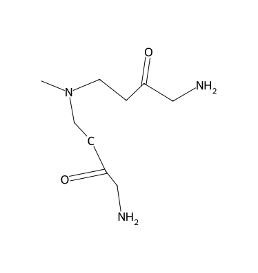 CN(CCC(=O)CN)CCC(=O)CN